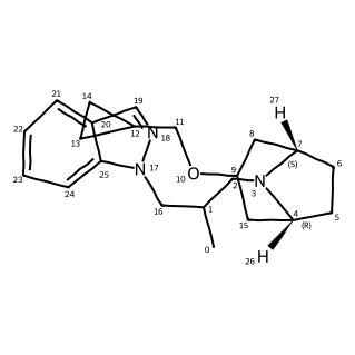 CC(CN1[C@@H]2CC[C@H]1CC(OCC1CC1)C2)Cn1ncc2ccccc21